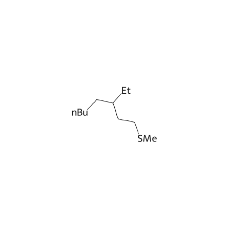 CCCCCC(CC)CCSC